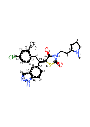 CN1CCCC1CCN1C(=O)S/C(=C(/Cc2ccc(Cl)cc2C(F)(F)F)c2ccc3[nH]ncc3c2)C1=O